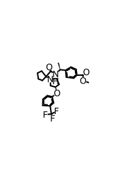 COC(=O)c1ccc([C@H](C)NC(=O)C2(N3CC[C@@H](Oc4cccc(C(F)(F)F)c4)C3)CCCC2)cc1